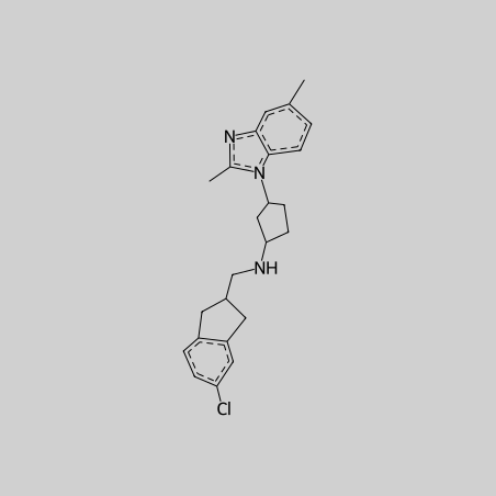 Cc1ccc2c(c1)nc(C)n2C1CCC(NCC2Cc3ccc(Cl)cc3C2)C1